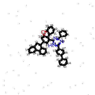 c1ccc(C2=NC(c3cc(-c4cc5ccccc5c5ccccc45)cc4oc5ccccc5c34)NC(c3ccc(-c4ccccc4)cc3)=N2)cc1